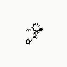 O=C(OCc1ccccc1)N1CC2(CCCCCCC34C5C3C524)C1.[Co].[Co]